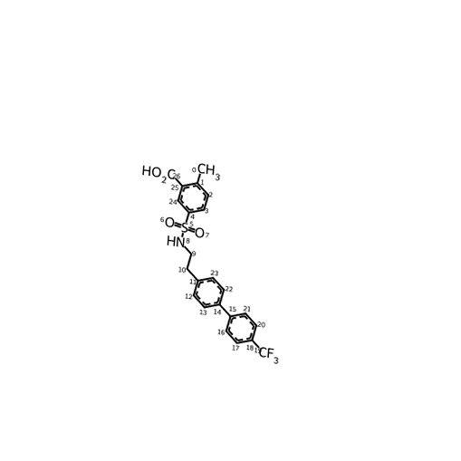 Cc1ccc(S(=O)(=O)NCCc2ccc(-c3ccc(C(F)(F)F)cc3)cc2)cc1C(=O)O